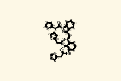 O=C(Cc1cccs1)Nc1cccc(C=Cc2nn(C(=O)Cc3cccs3)c3ccccc23)c1OC(=O)Cc1cccs1